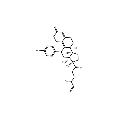 CC(=O)c1ccc([C@H]2C[C@@]3(C)[C@@H](CC[C@]3(O)C(=O)COC(=O)C=S)[C@@H]3CCC4=CC(=O)CCC4=C32)cc1